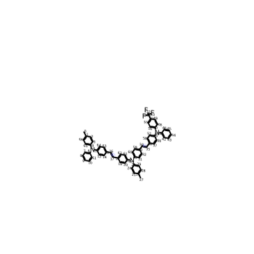 Cc1ccc(N(c2ccccc2)c2ccc(/C=C/c3ccc(N(c4ccc(C)cc4)c4ccc(/C=C/c5ccc(N(c6ccccc6)c6ccc(C(F)(F)F)cc6)cc5)cc4)cc3)cc2)cc1